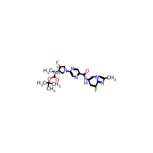 Cc1cn2cc(NC(=O)c3cnc(N4C[C@@H](N(C)C(=O)OC(C)(C)C)[C@@H](F)C4)cn3)cc(F)c2n1